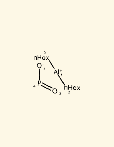 CCCCC[CH2][Al+][CH2]CCCCC.O=P[O-]